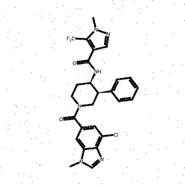 Cn1ncc(C(=O)N[C@@H]2CCN(C(=O)c3cc(Cl)c4ncn(C)c4c3)C[C@@H]2c2ccccc2)c1C(F)(F)F